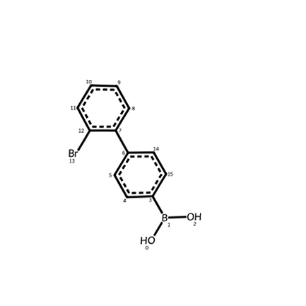 OB(O)c1ccc(-c2ccccc2Br)cc1